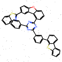 c1ccc(-c2nc(-c3cccc(-c4cccc5c4sc4ccccc45)c3)nc(-c3cccc4oc5ccc(-c6nc7ccccc7s6)cc5c34)n2)cc1